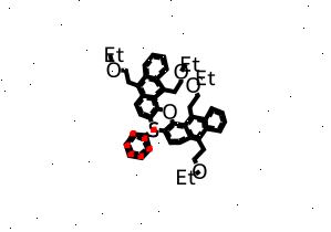 CCOCCc1c2ccccc2c(CCOCC)c2c(Oc3c(Sc4ccccc4)ccc4c(CCOCC)c5ccccc5c(CCOCC)c34)c(Sc3ccccc3)ccc12